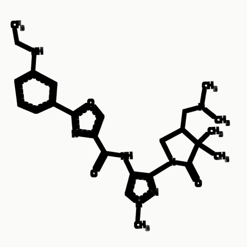 CN(C)CC1CN(c2nn(C)cc2NC(=O)c2coc(-c3cccc(NCC(F)(F)F)c3)n2)C(=O)C1(C)C